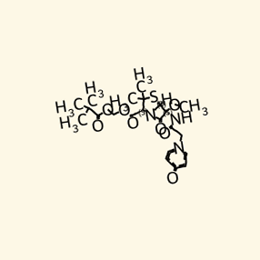 CO[C@@]1(NC(=O)Cn2ccc(=O)cc2)C(=O)N2[C@@H](C(=O)OCOC(=O)C(C)(C)C)C(C)(C)S[C@@H]21